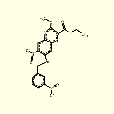 CCOC(=O)c1nc2cc(NCc3cccc([N+](=O)[O-])c3)c([N+](=O)[O-])cc2nc1OC